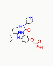 CC(C)CN(c1ccc(OCC(=O)O)cc1NC(=O)Nc1ccncc1)C1CCCCC1